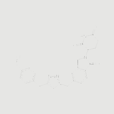 O=C1CCC(N2Cc3cc(Cn4cc(Cc5ccc(OC(F)(F)F)cc5)nn4)ccc3C2=O)C(=O)N1